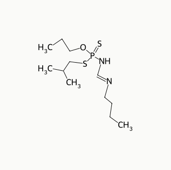 CCCCN=CNP(=S)(OCCC)SCC(C)C